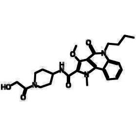 CCCCn1c(=O)c2c(OC)c(C(=O)NC3CCN(C(=O)CO)CC3)n(C)c2c2ccccc21